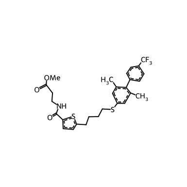 COC(=O)CCNC(=O)c1ccc(CCCCSc2cc(C)c(-c3ccc(C(F)(F)F)cc3)c(C)c2)s1